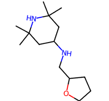 CC1(C)CC(NCC2CCCO2)CC(C)(C)N1